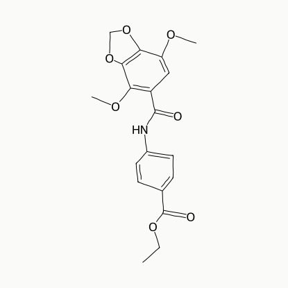 CCOC(=O)c1ccc(NC(=O)c2cc(OC)c3c(c2OC)OCO3)cc1